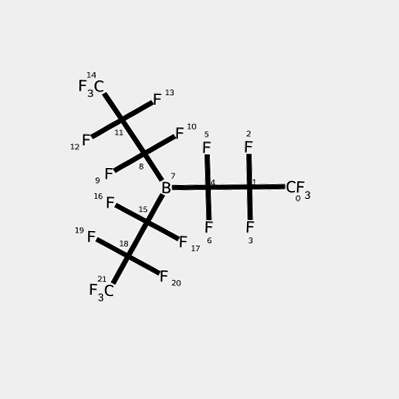 FC(F)(F)C(F)(F)C(F)(F)B(C(F)(F)C(F)(F)C(F)(F)F)C(F)(F)C(F)(F)C(F)(F)F